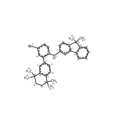 CC(C)(C)c1ccc(Nc2ccc3c(c2)-c2ccccc2C3(C)C)c(-c2ccc3c(c2)C(C)(C)CCC3(C)C)c1